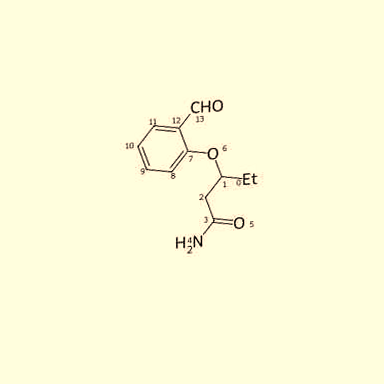 CCC(CC(N)=O)Oc1ccccc1C=O